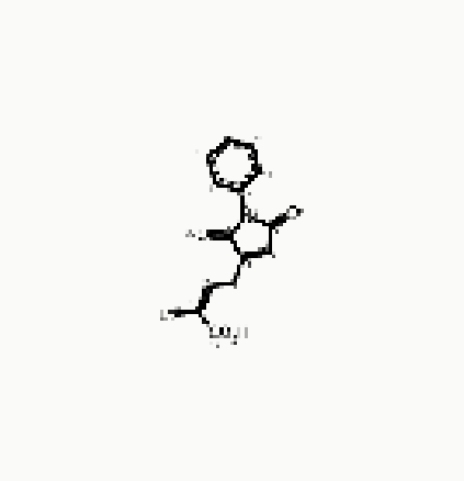 CCC(=CCC1=CC(=O)N(c2ccccc2)C1=O)C(=O)O